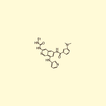 CCNC(=O)Nc1cc2cc(NC(=O)c3cccc(N(C)C)c3)cc(Nc3cccnc3)c2cn1